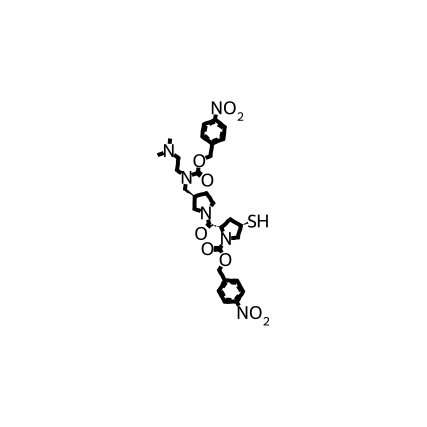 CN(C)CCN(C[C@H]1CCN(C(=O)[C@@H]2C[C@H](S)CN2C(=O)OCc2ccc([N+](=O)[O-])cc2)C1)C(=O)OCc1ccc([N+](=O)[O-])cc1